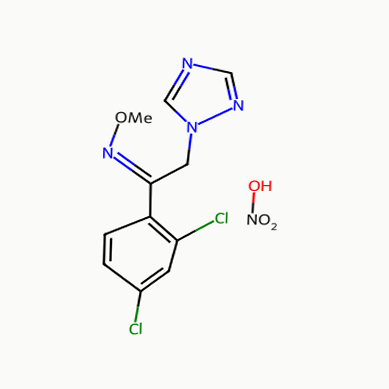 CON=C(Cn1cncn1)c1ccc(Cl)cc1Cl.O=[N+]([O-])O